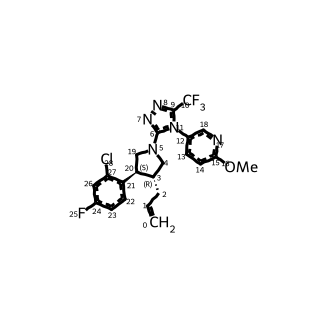 C=CC[C@H]1CN(c2nnc(C(F)(F)F)n2-c2ccc(OC)nc2)C[C@@H]1c1ccc(F)cc1Cl